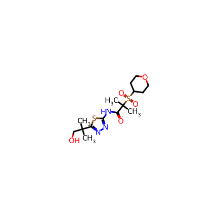 CC(C)(CO)c1nnc(NC(=O)C(C)(C)S(=O)(=O)C2CCOCC2)s1